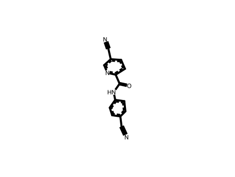 N#Cc1ccc(NC(=O)c2ccc(C#N)cn2)cc1